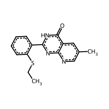 CCSc1ccccc1-c1nc2ncc(C)cc2c(=O)[nH]1